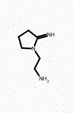 N=C1CCCN1CCN